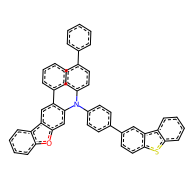 c1ccc(-c2ccc(N(c3ccc(-c4ccc5sc6ccccc6c5c4)cc3)c3cc4oc5ccccc5c4cc3-c3ccccc3)cc2)cc1